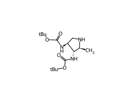 C[C@@H]1NC[C@H](NC(=O)OC(C)(C)C)[C@H]1NC(=O)OC(C)(C)C